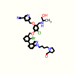 CC(CO)NCc1cc(Cl)c(OCc2cccc(-c3cccc4c3cnn4CCCCN3CCCC3C=O)c2Br)cc1OCc1cncc(C#N)c1